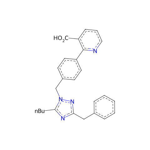 CCCCc1nc(Cc2ccccc2)nn1Cc1ccc(-c2ncccc2C(=O)O)cc1